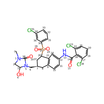 CN1CC(O)N(C[C@@H]2Cc3ccc(NC(=O)c4c(Cl)cccc4Cl)cc3C(S(=O)(=O)c3cccc(Cl)c3)C2)C1=O